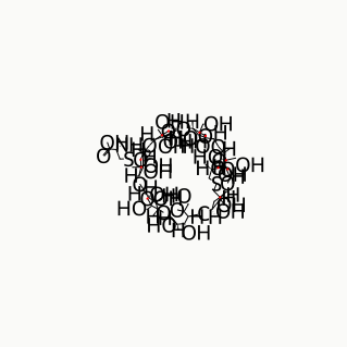 C[C@H](CSCC1C[C@@H]2C[C@@H]3C(CO)O[C@H](O[C@@H]4C(CO)O[C@H](O[C@@H]5C(CSC[C@@H](N)C(=O)O)O[C@H](O[C@@H]6C(CO)O[C@H](O[C@@H]7C(CO)O[C@H](O[C@@H]8C(CO)O[C@H](O[C@H]1[C@H](O)C2O)C(O)[C@H]8O)C(O)[C@H]7O)[C@@H](O)C6O)[C@@H](O)C5O)[C@@H](O)C4O)[C@@H](O)C3O)C(=O)O